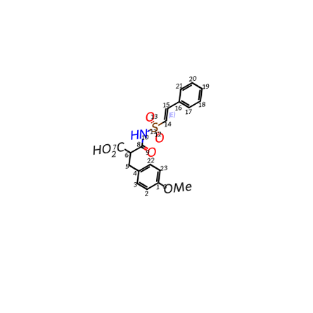 COc1ccc(CC(C(=O)O)C(=O)NS(=O)(=O)/C=C/c2ccccc2)cc1